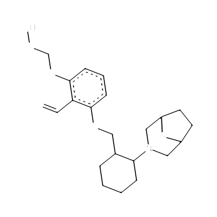 COCOc1cccc(OCC2CCCCC2N2CC3CCC(C2)O3)c1C=O